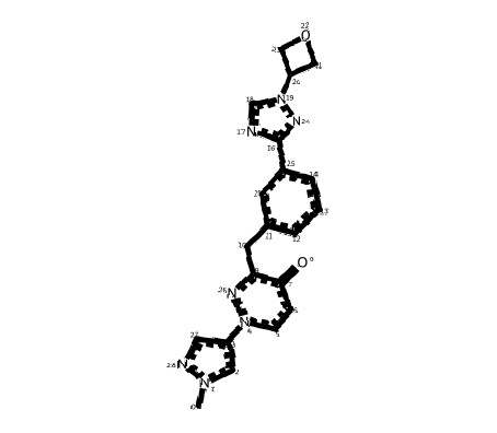 Cn1cc(-n2ccc(=O)c(Cc3cccc(-c4ncn(C5COC5)n4)c3)n2)cn1